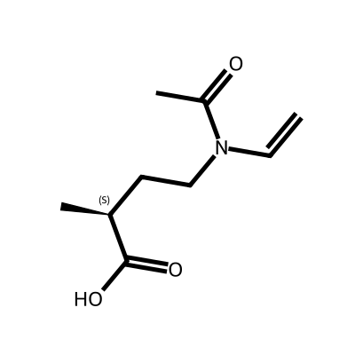 C=CN(CC[C@H](C)C(=O)O)C(C)=O